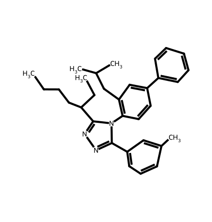 CCCCC(CC)c1nnc(-c2cccc(C)c2)n1-c1ccc(-c2ccccc2)cc1CC(C)C